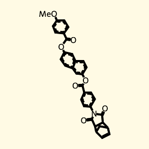 COc1ccc(C(=O)Oc2ccc3cc(OC(=O)c4ccc(N5C(=O)C6C7C=CC(C7)C6C5=O)cc4)ccc3c2)cc1